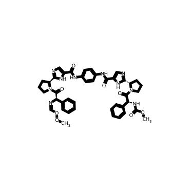 COO/C=N\[C@@H](C(=O)N1CCC[C@H]1c1ncc(C(=O)Nc2ccc(NC(=O)c3cnc([C@@H]4CCCN4C(=O)[C@H](NC(=O)OC)c4ccccc4)[nH]3)cc2)[nH]1)c1ccccc1